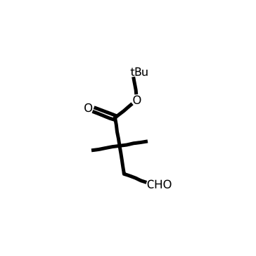 CC(C)(C)OC(=O)C(C)(C)CC=O